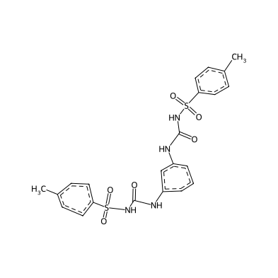 Cc1ccc(S(=O)(=O)NC(=O)Nc2cccc(NC(=O)NS(=O)(=O)c3ccc(C)cc3)c2)cc1